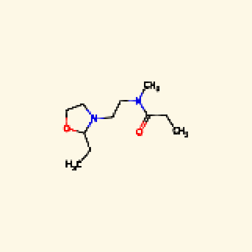 CCC(=O)N(C)CCN1CCOC1CC